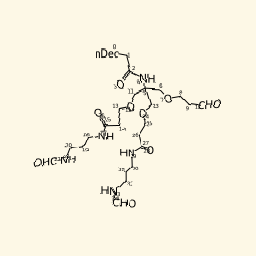 CCCCCCCCCCCC(=O)NC(COCCC=O)(COCCC(=O)NCCCNC=O)COCCC(=O)NCCCNC=O